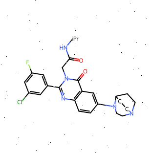 CC(C)NC(=O)Cn1c(-c2cc(F)cc(Cl)c2)nc2ccc(N3CCN4CCC3CC4)cc2c1=O